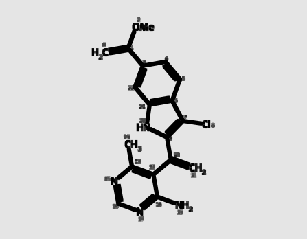 C=C(OC)c1ccc2c(Cl)c(C(=C)c3c(C)ncnc3N)[nH]c2c1